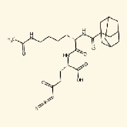 CC(=O)NCCCC[C@H](NC(=O)C12CC3CC(CC(C3)C1)C2)C(=O)N[C@@H](CCC(=O)C=[N+]=[N-])C(=O)O